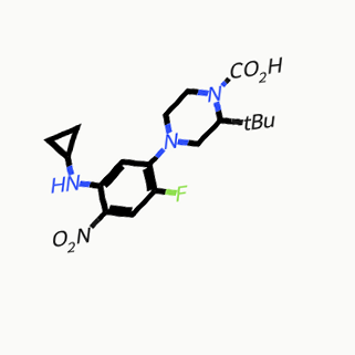 CC(C)(C)C1CN(c2cc(NC3CC3)c([N+](=O)[O-])cc2F)CCN1C(=O)O